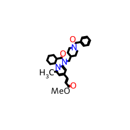 COC(=O)/C=C/c1cc(C)nc(N(CC2CCN(C(=O)c3ccccc3)CC2)C(=O)C2CCCCC2)c1